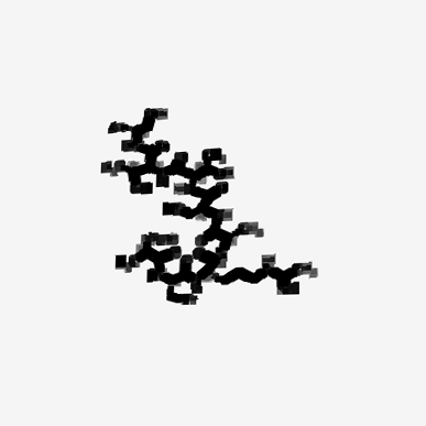 CCCCC[C@H](C)C(=O)N[C@@H](CC(C)C)C(=O)N[C@@H](CCCNC(C)=N)C(=O)N[C@@H](C)C(=O)N[C@@H](CO)C(=O)N[C@H](C(=O)N[C@H](C(=O)N[C@@H](CO)C(C)=O)[C@@H](C)O)[C@@H](C)O